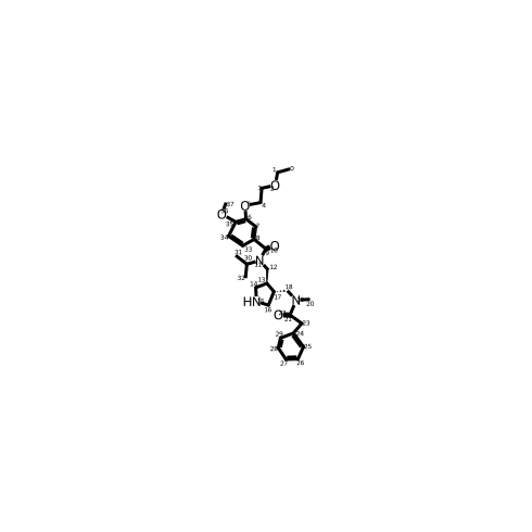 CCOCCOc1cc(C(=O)N(C[C@@H]2CNC[C@H]2CN(C)C(=O)Cc2ccccc2)C(C)C)ccc1OC